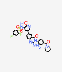 COc1ncc(-c2ccc3nc(N)n(-c4ccc(C(=O)N5CCCCC5)cc4)c(=O)c3c2)cc1NS(=O)(=O)c1ccc(F)cc1F